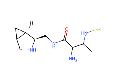 CC(NS)C(N)C(=O)NC[C@H]1NCC2C[C@H]21